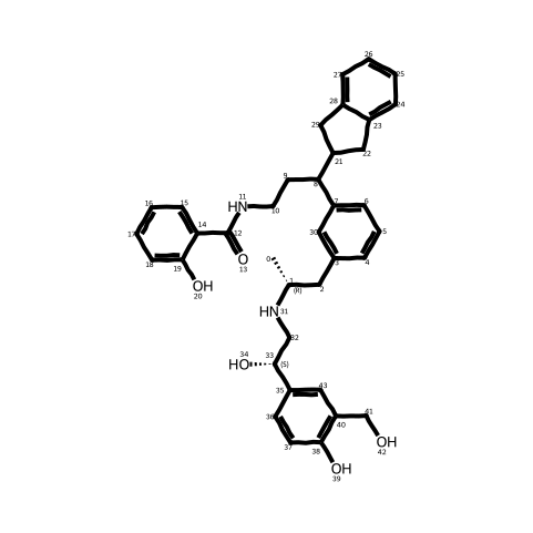 C[C@H](Cc1cccc(C(CCNC(=O)c2ccccc2O)C2Cc3ccccc3C2)c1)NC[C@@H](O)c1ccc(O)c(CO)c1